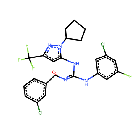 O=C(/N=C(/Nc1cc(F)cc(Cl)c1)Nc1cc(C(F)(F)F)nn1C1CCCC1)c1cccc(Cl)c1